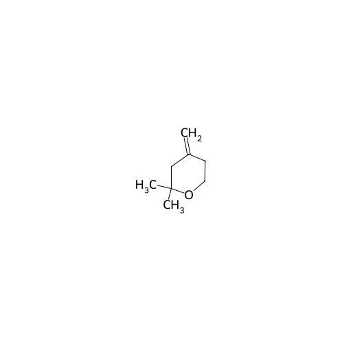 C=C1CCOC(C)(C)C1